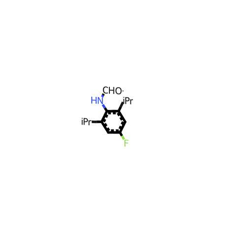 CC(C)c1cc(F)cc(C(C)C)c1N[C]=O